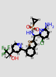 C[C@](O)(c1ccnc(-c2cccc3cc(C(NS(=O)(=O)C4CC4)c4nc(N)ccc4Cl)sc23)c1)C(F)(F)F